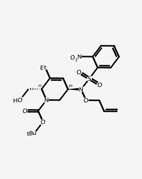 C=CCON([C@@H]1C=C(CC)[C@@H](CO)N(C(=O)OC(C)(C)C)C1)S(=O)(=O)c1ccccc1[N+](=O)[O-]